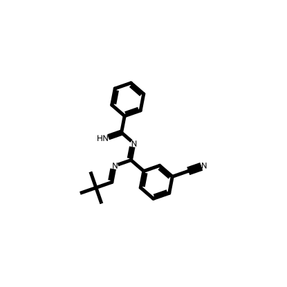 CC(C)(C)/C=N/C(=N\C(=N)c1ccccc1)c1cccc(C#N)c1